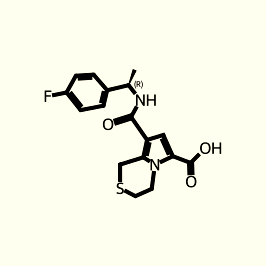 C[C@@H](NC(=O)c1cc(C(=O)O)n2c1CSCC2)c1ccc(F)cc1